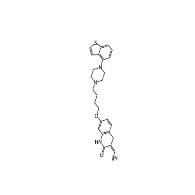 CC(C)C=C1Cc2ccc(OCCCCN3CCN(c4cccc5sccc45)CC3)cc2NC1=O